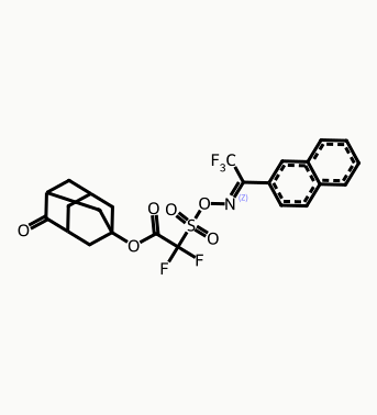 O=C1C2CC3CC1CC(OC(=O)C(F)(F)S(=O)(=O)O/N=C(/c1ccc4ccccc4c1)C(F)(F)F)(C3)C2